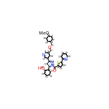 COc1ccc(COCc2cncc(C3=NN(C(=O)c4ccc(-c5ccccn5)s4)C(c4ccccc4O)C3)c2)cc1